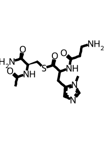 CC(=O)N[C@H](CSC(=O)C(Cc1cncn1C)NC(=O)CCN)C(N)=O